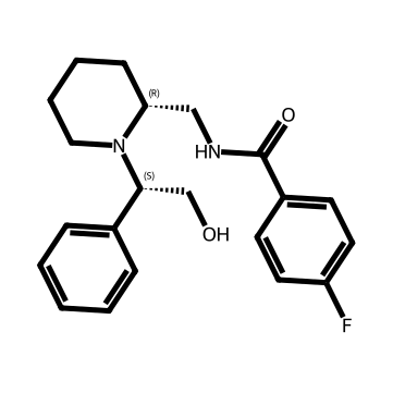 O=C(NC[C@H]1CCCCN1[C@H](CO)c1ccccc1)c1ccc(F)cc1